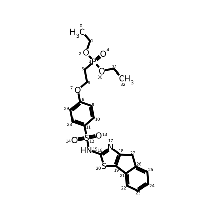 CCOP(=O)(CCOc1ccc(S(=O)(=O)Nc2nc3c(s2)-c2ccccc2C3)cc1)OCC